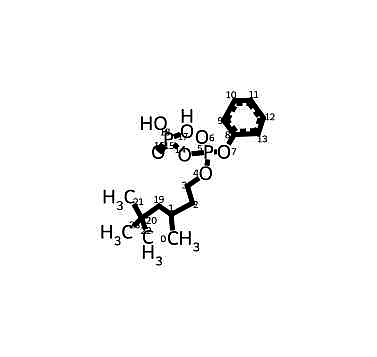 CC(CCOP(=O)(Oc1ccccc1)OP(=O)(O)O)CC(C)(C)C